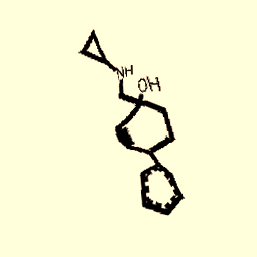 OC1(CNC2CC2)C=CC(c2ccccc2)=CC1